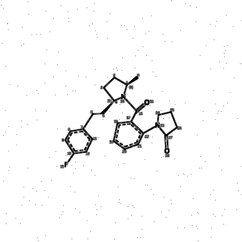 C[C@@H]1CC[C@H](CCc2ccc(F)cc2)N1C(=O)c1ccccc1N1CCCC1=O